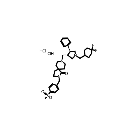 CS(=O)(=O)c1ccc(CN2CCC3(CCN(C[C@H]4CN(CC5CCC(F)(F)CC5)C[C@@H]4c4ccccc4)CC3)C2=O)cc1.Cl.Cl